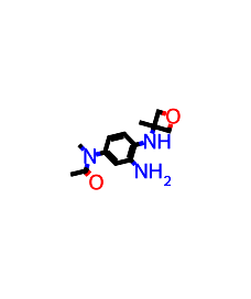 CC(=O)N(C)c1ccc(NC2(C)COC2)c(N)c1